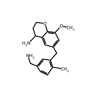 COc1cc(Cc2cc(CN)ccc2C)cc2c1OCCC2N